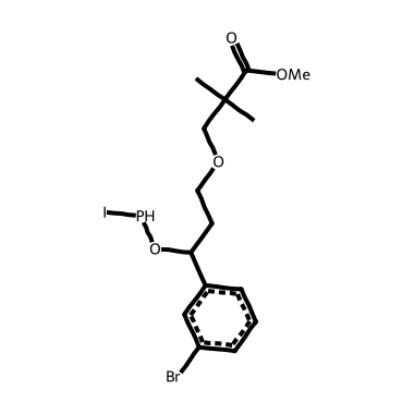 COC(=O)C(C)(C)COCCC(OPI)c1cccc(Br)c1